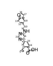 CSc1cc(-c2cc(NCCc3ccc4occc4c3)ncn2)ccc1C(=O)O